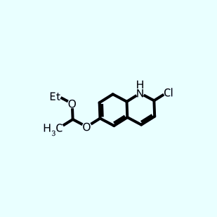 CCOC(C)OC1=CCC2NC(Cl)C=CC2=C1